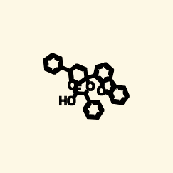 O=C(O)C(OC1(c2cccc3c2oc2ccccc23)C=CC(c2ccccc2)=CC1F)c1ccccc1